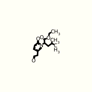 CCOC(=O)C(CC(C)C)n1cc(CC=O)ccc1=O